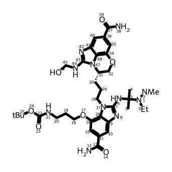 CCN(NC)C(C)(C)Nc1nc2cc(C(N)=O)cc(OCCCNC(=O)OC(C)(C)C)c2n1CCC[C@H]1COc2cc(C(N)=O)cc3nc(NCO)n1c23